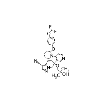 CC(C)(O)COC1(c2cnccc2N2CCCCC2Oc2ccc(OC(F)F)nc2)C=Cc2c(C#N)cnn2C1